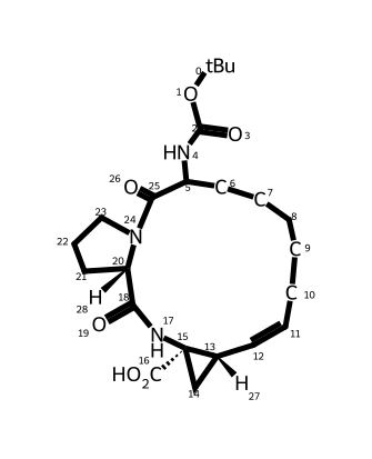 CC(C)(C)OC(=O)NC1CCCCC/C=C\[C@@H]2C[C@@]2(C(=O)O)NC(=O)[C@@H]2CCCN2C1=O